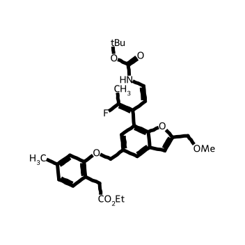 CCOC(=O)Cc1ccc(C)cc1OCc1cc(C(/C=C\NC(=O)OC(C)(C)C)=C(/C)F)c2oc(COC)cc2c1